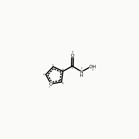 O=C(NO)c1ccoc1